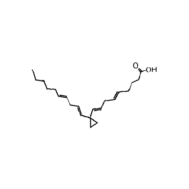 CCCCCC=CCC=CC1(C=CCC=CCCCC(=O)O)CC1